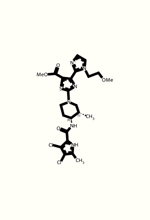 COCCn1ccnc1-c1nc(N2CC[C@@H](NC(=O)c3[nH]c(C)c(Cl)c3Cl)[C@@H](C)C2)sc1C(=O)OC